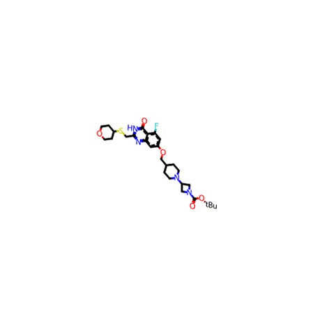 CC(C)(C)OC(=O)N1CC(N2CCC(COc3cc(F)c4c(=O)[nH]c(CSC5CCOCC5)nc4c3)CC2)C1